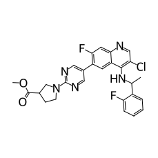 COC(=O)C1CCN(c2ncc(-c3cc4c(NC(C)c5ccccc5F)c(Cl)cnc4cc3F)cn2)C1